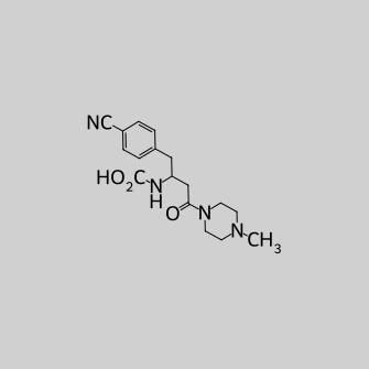 CN1CCN(C(=O)CC(Cc2ccc(C#N)cc2)NC(=O)O)CC1